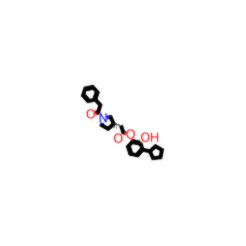 O=C(C[C@@H]1CCN(C(=O)Cc2ccccc2)C1)Oc1cccc(C2CCCC2)c1O